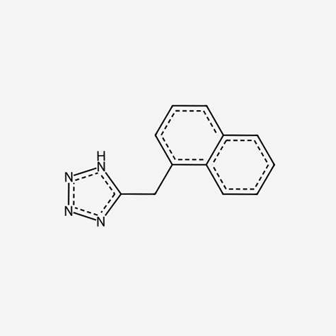 c1ccc2c(Cc3nnn[nH]3)cccc2c1